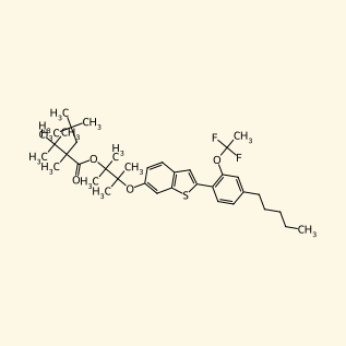 CCCCCc1ccc(-c2cc3ccc(OC(C)(C)C(C)(C)OC(=O)C(C)(CC(C)(C)C)C(C)(C)C)cc3s2)c(OC(C)(F)F)c1